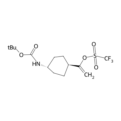 C=C(OS(=O)(=O)C(F)(F)F)[C@H]1CC[C@H](NC(=O)OC(C)(C)C)CC1